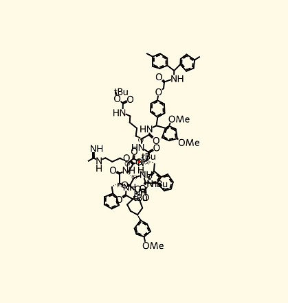 CCCCC(=O)N[C@@H](CC(=O)OC(C)(C)C)C(=O)N[C@]1(C(=O)N[C@H](Cc2ccccc2)C(=O)N[C@@H](CCCNC(C)=N)C(=O)N[C@@H](Cc2cn(C(=O)OC(C)(C)C)c3ccccc23)C(=O)N[C@@H](CCCCNC(=O)OC(C)(C)C)C(=O)NC(c2ccc(OCC(=O)NC(c3ccc(C)cc3)c3ccc(C)cc3)cc2)c2ccc(OC)cc2OC)CC[C@H](c2ccc(OC)cc2)CC1